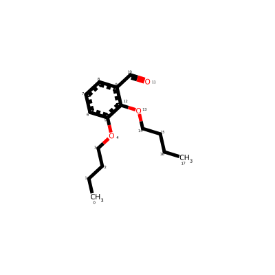 CCCCOc1cccc(C=O)c1OCCCC